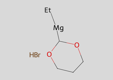 Br.C[CH2][Mg][CH]1OCCCO1